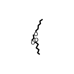 CCCCCCOCC1COC(CCCCC)O1